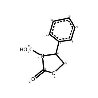 O=C(O)N1C(=O)OCC1c1ccccc1